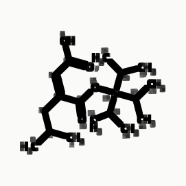 CC(C)C/C(=C/C(=O)O)C(=O)O[Si](C(C)C)(C(C)C)C(C)C